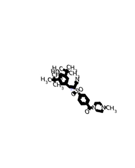 CN1CCN(C(=O)c2ccc(S(=O)(=O)/C(C#N)=C/c3cc(C(C)(C)C)c(O)c(C(C)(C)C)c3)cc2)CC1